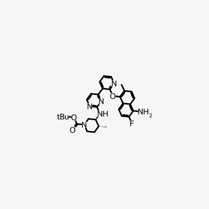 Cc1ccc2c(N)c(F)ccc2c1Oc1ncccc1-c1ccnc(N[C@@H]2CN(C(=O)OC(C)(C)C)CC[C@H]2C)n1